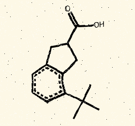 CC(C)(C)c1cccc2c1CC(C(=O)O)C2